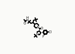 CC(=O)NC(C)(C)CC(CC(C)(C)C)C1CCN(C(=O)[C@@H]2CN(C(C)(C)C)C[C@H]2c2ccc(Cl)cc2F)CC1